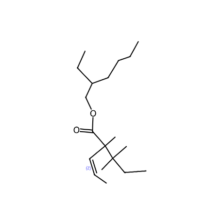 C/C=C\C(C)(C(=O)OCC(CC)CCCC)C(C)(C)CC